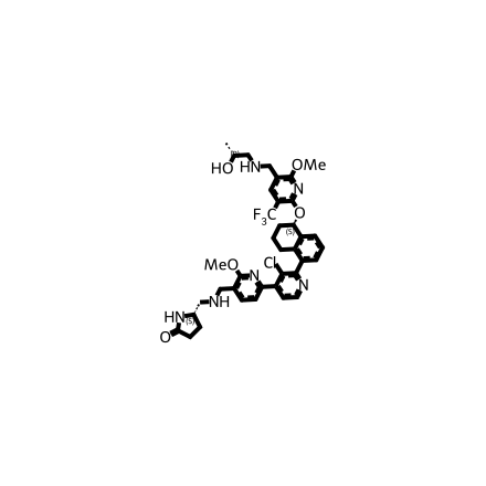 COc1nc(-c2ccnc(-c3cccc4c3CCC[C@@H]4Oc3nc(OC)c(CNC[C@@H](C)O)cc3C(F)(F)F)c2Cl)ccc1CNC[C@@H]1CCC(=O)N1